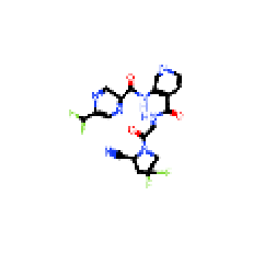 N#CC1CC(F)(F)CN1C(=O)CNC(=O)c1ccncc1NC(=O)c1cnc(C(F)F)cn1